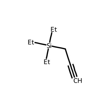 C#CC[Si](CC)(CC)CC